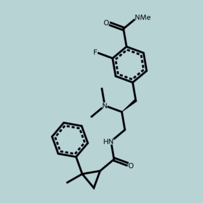 CNC(=O)c1ccc(C[C@@H](CNC(=O)C2CC2(C)c2ccccc2)N(C)C)cc1F